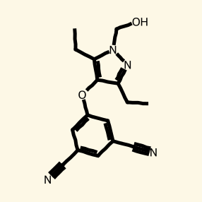 CCc1nn(CO)c(CC)c1Oc1cc(C#N)cc(C#N)c1